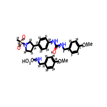 COc1ccc(CNC(=O)Nc2ccc(C3CCN(S(C)(=O)=O)C3)cc2)cc1.COc1ccc(CNC(=O)O)cc1